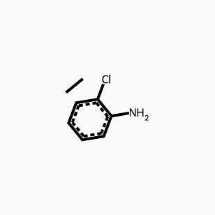 CC.Nc1ccccc1Cl